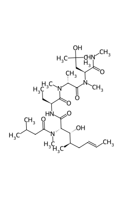 C/C=C/C[C@@H](C)[C@@H](O)[C@@H](C(=O)N[C@@H](CC)C(=O)N(C)[C@H](C)C(=O)N(C)[C@@H](CC(C)(C)O)C(=O)NC)N(C)C(=O)CC(C)C